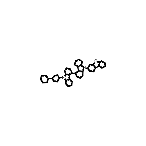 c1ccc(-c2ccc(-n3c4ccccc4c4c(-c5cccc6c5c5ccccc5n6-c5ccc6c(c5)oc5ccccc56)cccc43)cc2)cc1